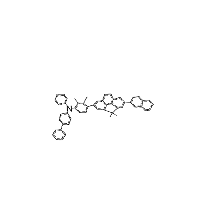 Cc1c(-c2cc3c4c(ccc5cc(-c6ccc7ccccc7c6)cc(c54)C3(C)C)c2)ccc(N(c2ccccc2)c2ccc(-c3ccccc3)cc2)c1C